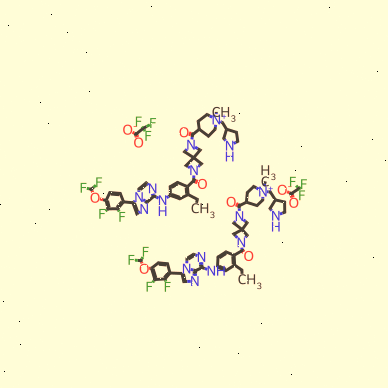 CCc1cc(Nc2nccn3c(-c4ccc(OC(F)F)c(F)c4F)cnc23)ccc1C(=O)N1CC2(C1)CN(C(=O)C1CC[N+](C)(CC3CCNC3)CC1)C2.CCc1cc(Nc2nccn3c(-c4ccc(OC(F)F)c(F)c4F)cnc23)ccc1C(=O)N1CC2(C1)CN(C(=O)C1CC[N+](C)(CC3CCNC3)CC1)C2.O=C([O-])C(F)(F)F.O=C([O-])C(F)(F)F